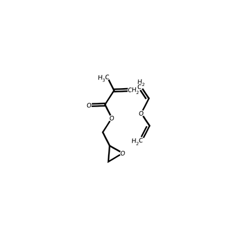 C=C(C)C(=O)OCC1CO1.C=COC=C